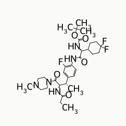 CCC(=O)N[C@@H](C(=O)N1CCN(C)CC1)[C@@H](C)c1ccc(NC(=O)[C@@H](NC(=O)OC(C)(C)C)C2CCC(F)(F)CC2)c(F)c1